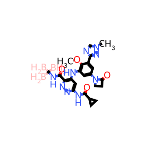 BC(B)(B)NC(=O)c1nnc(NC(=O)C2CC2)cc1Nc1cc(N2CCC2=O)cc(-c2ncn(C)n2)c1OC